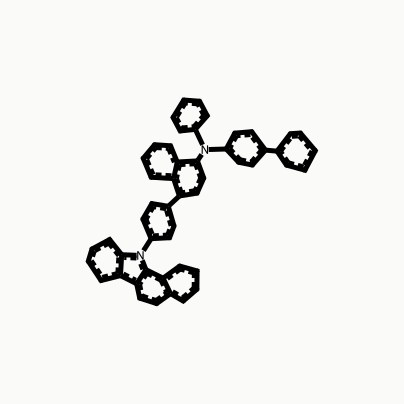 c1ccc(-c2ccc(N(c3ccccc3)c3ccc(-c4ccc(-n5c6ccccc6c6ccc7ccccc7c65)cc4)c4ccccc34)cc2)cc1